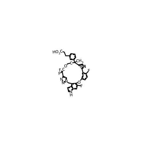 CC1(c2cccc(CCC(=O)O)c2)CCOCC(F)(F)c2cn(nn2)Cc2c(c(F)cc3[nH]ccc23)Oc2ccc(F)c(c2)-c2ncc1[nH]2